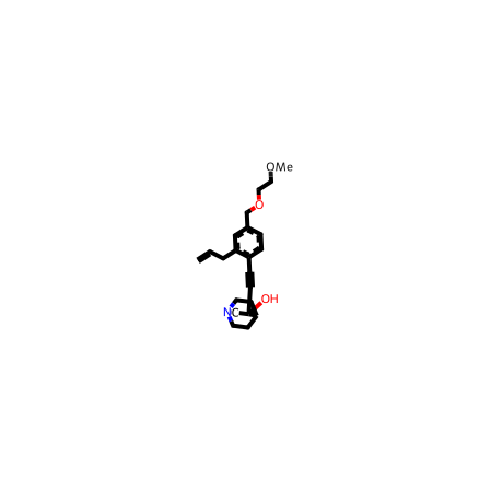 C=CCc1cc(COCCOC)ccc1C#CC1(O)CN2CCC1CC2